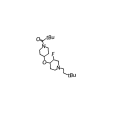 CC(C)(C)CCN1CCC(OC2CCN(C(=O)C(C)(C)C)CC2)C(F)C1